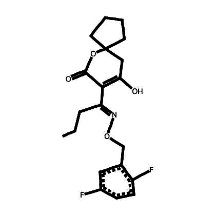 CCCC(=NOCc1cc(F)ccc1F)C1=C(O)CC2(CCCC2)OC1=O